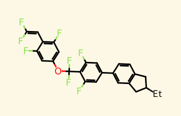 CCC1Cc2ccc(-c3cc(F)c(C(F)(F)Oc4cc(F)c(C=C(F)F)c(F)c4)c(F)c3)cc2C1